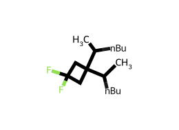 CCCCC(C)C1(C(C)CCCC)CC(F)(F)C1